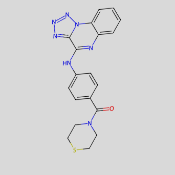 O=C(c1ccc(Nc2nc3ccccc3n3nnnc23)cc1)N1CCSCC1